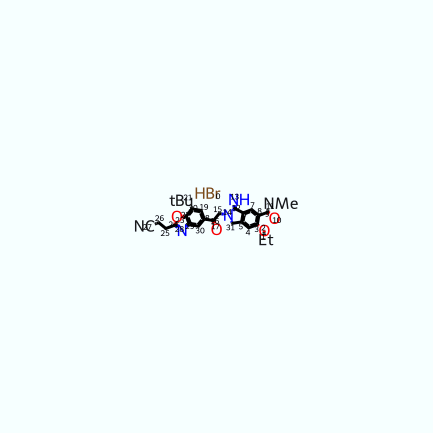 Br.CCOc1cc2c(cc1C(=O)NC)C(=N)N(CC(=O)c1cc(C(C)(C)C)c3oc(CCC#N)nc3c1)C2